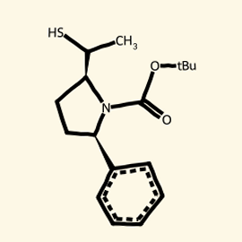 CC(S)[C@@H]1CC[C@H](c2ccccc2)N1C(=O)OC(C)(C)C